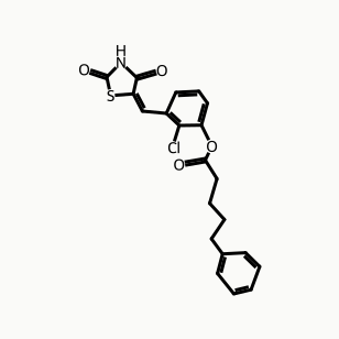 O=C(CCCCc1ccccc1)Oc1cccc(C=C2SC(=O)NC2=O)c1Cl